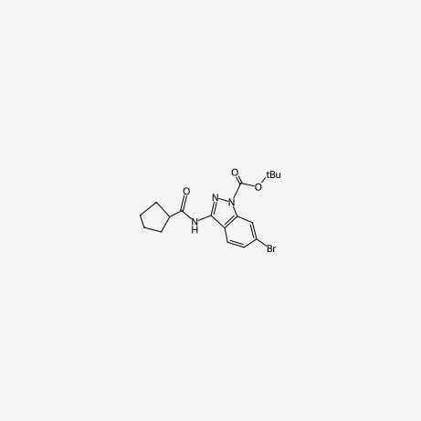 CC(C)(C)OC(=O)n1nc(NC(=O)C2CCCC2)c2ccc(Br)cc21